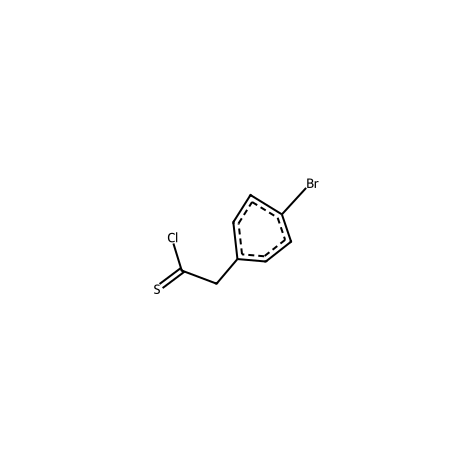 S=C(Cl)Cc1ccc(Br)cc1